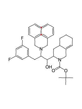 CC(C)(C)OC(=O)N1CC2=CCCCC2CC1C(O)C(Cc1cc(F)cc(F)c1)N(Cc1ccccc1)Cc1ccccc1